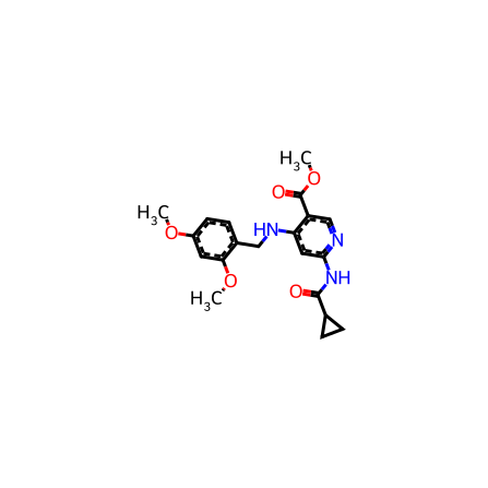 COC(=O)c1cnc(NC(=O)C2CC2)cc1NCc1ccc(OC)cc1OC